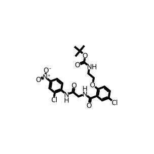 CC(C)(C)OC(=O)NCCOc1ccc(Cl)cc1C(=O)NCC(=O)Nc1ccc([N+](=O)[O-])cc1Cl